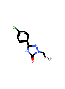 O=C(O)Cn1nc(-c2ccc(Cl)cc2)[nH]c1=O